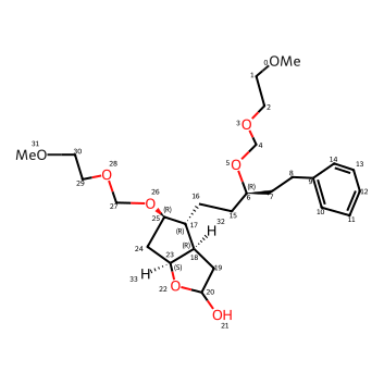 COCCOCO[C@@H](CCc1ccccc1)CC[C@@H]1[C@H]2CC(O)O[C@H]2C[C@H]1OCOCCOC